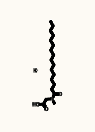 CCCCCCCCCCCCCCCC(=O)N(C)CC(=O)O.[K]